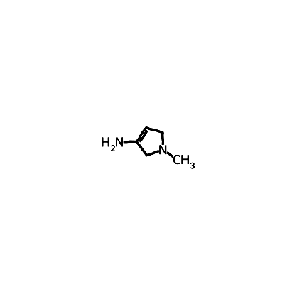 CN1CC=C(N)C1